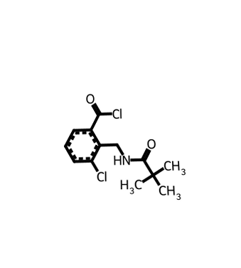 CC(C)(C)C(=O)NCc1c(Cl)cccc1C(=O)Cl